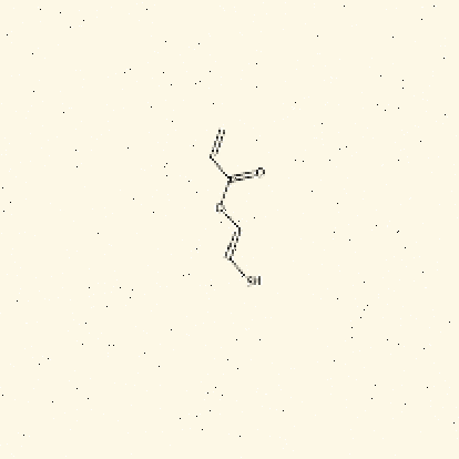 C=CC(=O)O/C=C/S